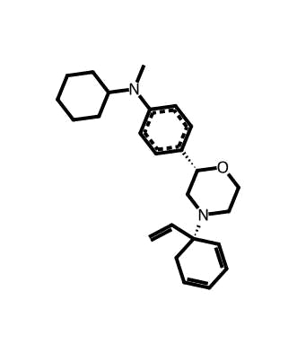 C=C[C@@]1(N2CCO[C@@H](c3ccc(N(C)C4CCCCC4)cc3)C2)C=CC=CC1